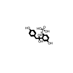 O=P(O)(O)/N=C1\C=CC(O)=CC1C(O)(O)Cc1ccc(O)cc1